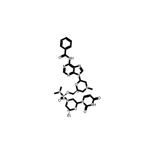 CC[C@@H]1CN([P@@](=O)(OC[C@@H]2CN(C)CC(n3cnc4c(NC(=O)c5ccccc5)ncnc43)O2)N(C)C)CC(n2ccc(=O)[nH]c2=O)O1